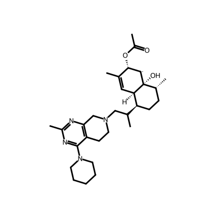 CC(=O)O[C@@H]1[CH][C@@]2(O)[C@H](C)CC[C@@H](C(C)CN3CCc4c(nc(C)nc4N4CCCCC4)C3)[C@H]2C=C1C